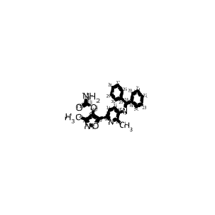 Cc1nc(-c2onc(C)c2OC(N)=O)ccc1N=C(c1ccccc1)c1ccccc1